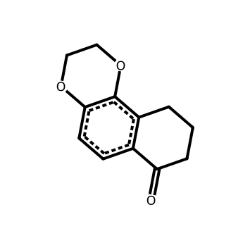 O=C1CCCc2c1ccc1c2OCCO1